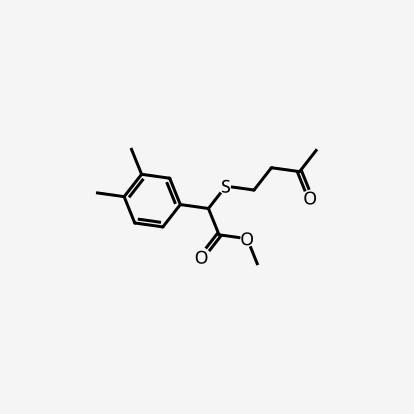 COC(=O)C(SCCC(C)=O)c1ccc(C)c(C)c1